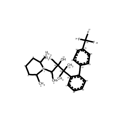 CC1CCCC(C)N1C(O)C(C)(O)C(C)(C)c1ccccc1-c1ccc(C(F)(F)F)cc1